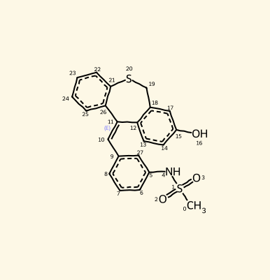 CS(=O)(=O)Nc1cccc(/C=C2\c3ccc(O)cc3CSc3ccccc32)c1